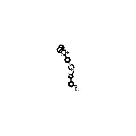 CCOc1cccc(-c2csc(CN3CCN(c4ccc(C(=O)N(C)CC56CC7CC(CC(C7)C5)C6)cc4)CC3)c2)c1